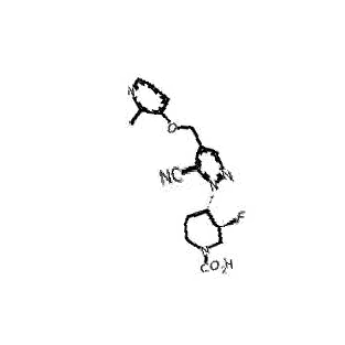 Cc1ncccc1OCc1cnn([C@H]2CCN(C(=O)O)C[C@@H]2F)c1C#N